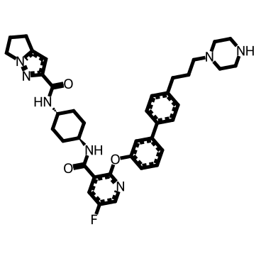 O=C(N[C@H]1CC[C@H](NC(=O)c2cc(F)cnc2Oc2cccc(-c3ccc(CCCN4CCNCC4)cc3)c2)CC1)c1cc2n(n1)CCC2